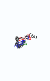 CC(C)(C)OC(=O)N1CCC(OCc2cccc(-c3cnc4ccc(Cl)nn34)c2)CC1